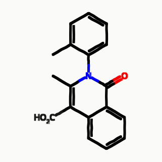 Cc1ccccc1-n1c(C)c(C(=O)O)c2ccccc2c1=O